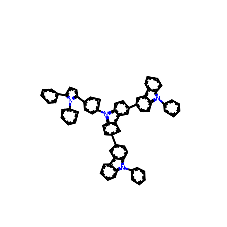 c1ccc(-c2ccc(-c3ccc(-n4c5ccc(-c6ccc7c(c6)c6ccccc6n7-c6ccccc6)cc5c5cc(-c6ccc7c(c6)c6ccccc6n7-c6ccccc6)ccc54)cc3)n2-c2ccccc2)cc1